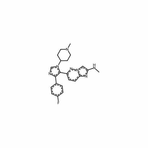 CNc1cn2nc(-c3c(-c4ccc(F)cc4)ncn3C3CCN(C)CC3)ccc2n1